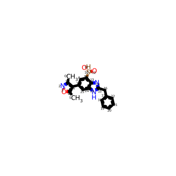 Cc1noc(C)c1-c1cc([SH](=O)=O)c2nc(Cc3ccccc3)[nH]c2c1